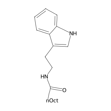 CCCCCCCCC(=O)NCCc1c[nH]c2ccccc12